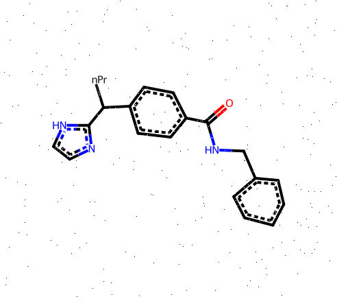 CCCC(c1ccc(C(=O)NCc2ccccc2)cc1)c1ncc[nH]1